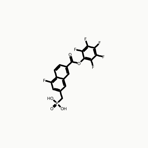 O=C(Oc1c(F)c(F)c(F)c(F)c1F)c1ccc2c(F)cc(CP(=O)(O)O)cc2c1